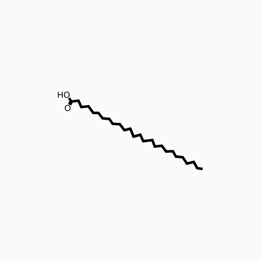 CCCCCCCCCCCCCCCCCCCCCCCCCC(=O)O